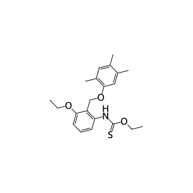 CCOC(=S)Nc1cccc(OCC)c1COc1cc(C)c(C)cc1C